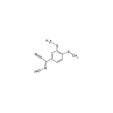 CSc1ccc(C(C#N)=NO)cc1SC